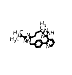 CCCCc1nc(C(C)C)nn1Cc1ccc(-c2ncccc2-c2nnn[nH]2)cc1